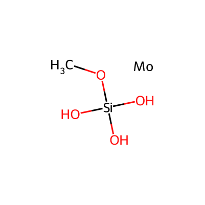 CO[Si](O)(O)O.[Mo]